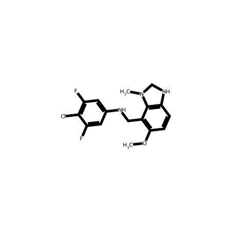 COc1ccc2c(c1CNc1cc(F)c(Cl)c(F)c1)N(C)CN2